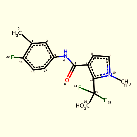 Cc1cc(NC(=O)c2ccn(C)c2C(F)(F)C(=O)O)ccc1F